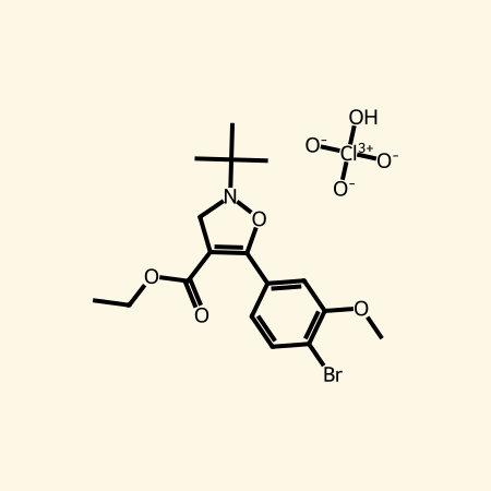 CCOC(=O)C1=C(c2ccc(Br)c(OC)c2)ON(C(C)(C)C)C1.[O-][Cl+3]([O-])([O-])O